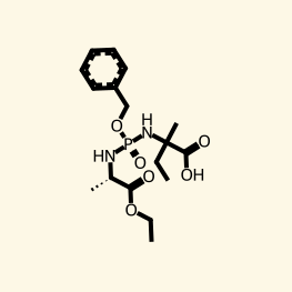 CCOC(=O)[C@H](C)NP(=O)(NC(C)(CC)C(=O)O)OCc1ccccc1